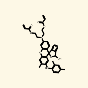 C=CC(=O)OCCN(CCOC(=O)C=C)c1ccc2c(c1)Oc1cc(C)c(Nc3ccc(C)cc3C)cc1C21OC(O)c2ccccc21